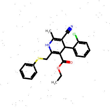 CCOC(=O)C1=C(CSc2ccccc2)NC(C)=C(C#N)C1c1ccccc1Cl